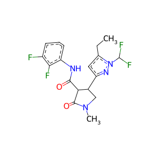 CCc1cc(C2CN(C)C(=O)C2C(=O)Nc2cccc(F)c2F)nn1C(F)F